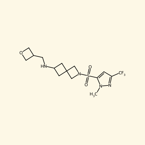 Cn1nc(C(F)(F)F)cc1S(=O)(=O)N1CC2(CC(NCC3COC3)C2)C1